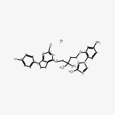 Cc1ncn(-c2ccc(N)cc2OCCC(C)(N)CNc2nc(Cl)nc3c2CCC3c2ccc(F)cc2)n1.[Fe]